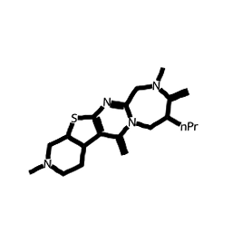 C=C1C(CCC)CN2C(=C)C3=C(N=C2CN1C)SC1CN(C)CCC31